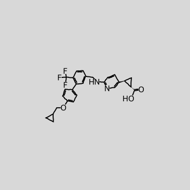 O=C(O)[C@H]1C[C@@H]1c1ccc(NCc2ccc(C(F)(F)F)c(-c3ccc(OCC4CC4)cc3)c2)nc1